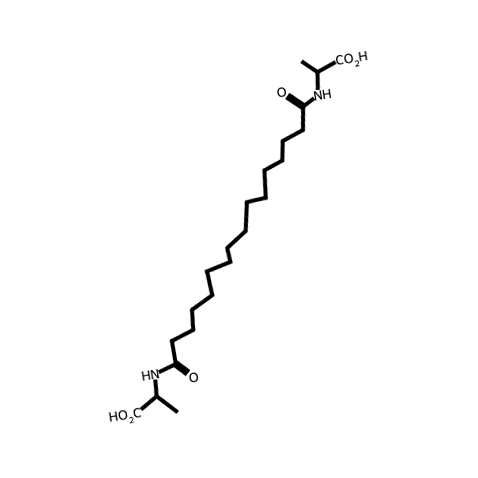 CC(NC(=O)CCCCCCCCCCCCCCC(=O)NC(C)C(=O)O)C(=O)O